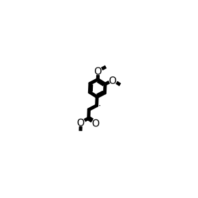 COC(=O)C[CH]c1ccc(OC)c(OC)c1